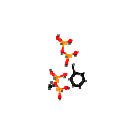 Cc1ccccc1.O=[PH]([O-])O[PH](=O)[O-].O=[PH]([O-])O[PH](=O)[O-].[Zr+4]